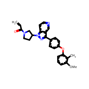 C=CC(=O)N1CCC(n2nc(-c3ccc(Oc4cccc(OC)c4C)cc3)c3cnccc32)C1